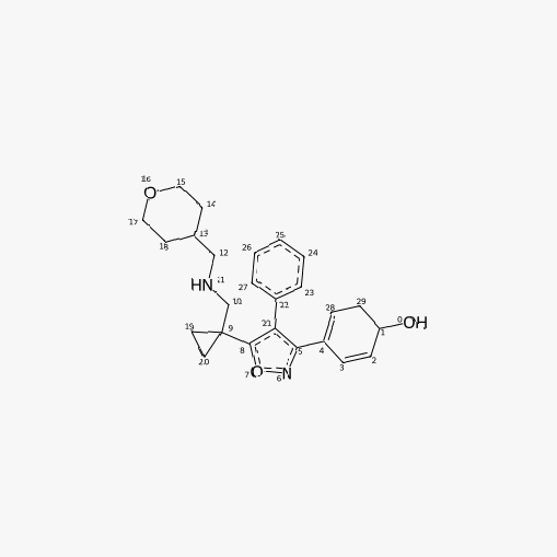 OC1C=CC(c2noc(C3(CNCC4CCOCC4)CC3)c2-c2ccccc2)=CC1